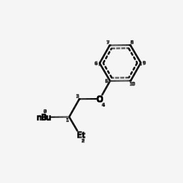 CCCCC(CC)COc1[c]cc[c]c1